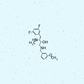 CN[C@@H](Cc1cc(F)cc(F)c1)[C@H](O)CNCc1cccc(OC)c1